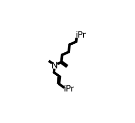 C=C(CCCCC(C)C)N(C)C/C=C/C(C)C